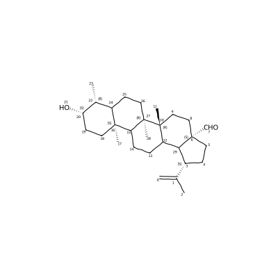 C=C(C)[C@H]1CC[C@]2(C=O)CC[C@]3(C)C(CCC4[C@@]5(C)CC[C@H](O)[C@H](C)C5CC[C@]43C)C12